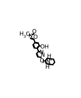 Cn1cc(-c2ccc(-c3ccc(O[C@@H]4C[C@H]5CCC[C@@H](C4)N5)nn3)c(O)c2)oc1=O